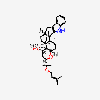 CC(C)=CCOC(C)(C)[C@@H]1C[C@@H](O)[C@]2(C(=O)O)[C@H](CC[C@@]3(C)[C@H]2CC[C@H]2Cc4c([nH]c5ccccc45)[C@@]23C)O1